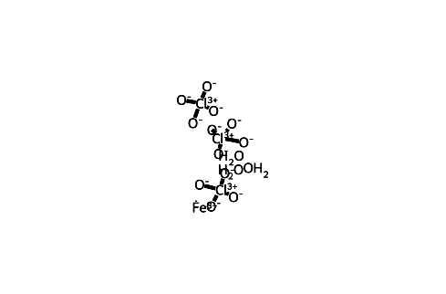 O.O.O.[Fe+3].[O-][Cl+3]([O-])([O-])[O-].[O-][Cl+3]([O-])([O-])[O-].[O-][Cl+3]([O-])([O-])[O-]